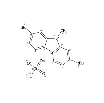 CC(C)(C)c1ccc2c3ccc(C(C)(C)C)cc3[s+](C(F)(F)F)c2c1.O=S(=O)([O-])C(F)(F)F